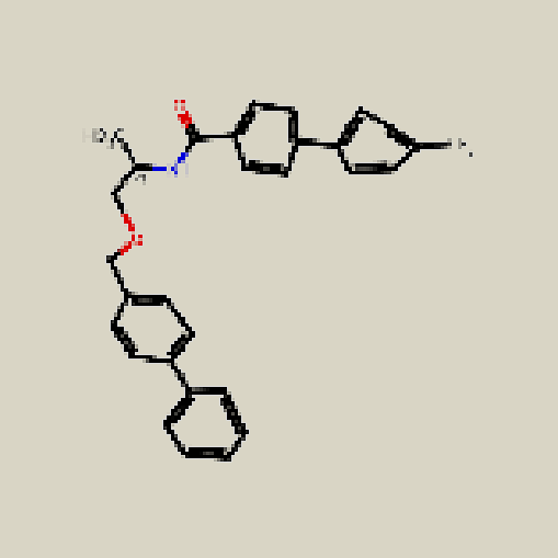 O=C(N[C@@H](COCc1ccc(-c2ccccc2)cc1)C(=O)O)c1ccc(-c2ccc(C(F)(F)F)cc2)cc1